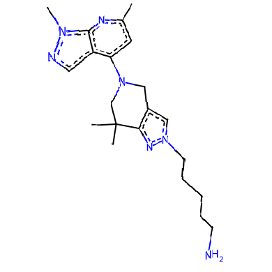 Cc1cc(N2Cc3cn(CCCCCN)nc3C(C)(C)C2)c2cnn(C)c2n1